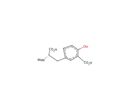 CN[C@@H](Cc1ccc(O)c(C(=O)O)c1)C(=O)O